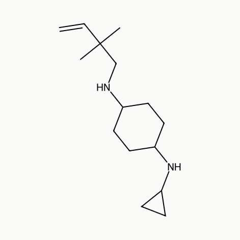 C=CC(C)(C)CNC1CCC(NC2CC2)CC1